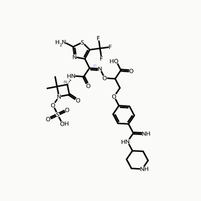 CC1(C)[C@H](NC(=O)/C(=N\OC(COc2ccc(C(=N)NC3CCNCC3)cc2)C(=O)O)c2nc(N)sc2C(F)(F)F)C(=O)N1OS(=O)(=O)O